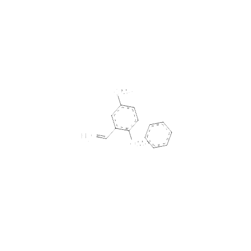 C=Cc1cc(OC)[c]cc1OC.[c]1ccccc1